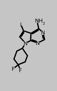 Nc1ncnc2c1c(I)cn2C1CCC(F)(F)CC1